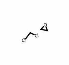 C1CO1.ClCCl